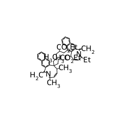 C=C1/N=C(C)/C=C\C(C)C(CCCC(Cc2c3c(cc4ccccc24)C(=C)/N=C(CC)/C=C\C3C)C(=O)OCC)(CC(C)C(=O)OCC)c2cc3ccccc3cc21